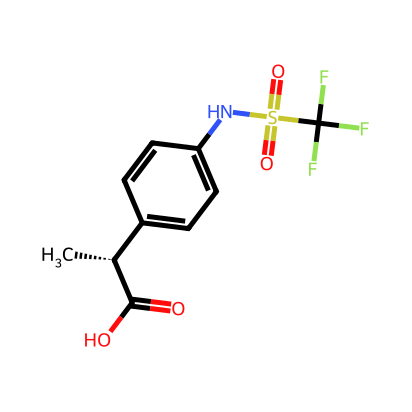 C[C@@H](C(=O)O)c1ccc(NS(=O)(=O)C(F)(F)F)cc1